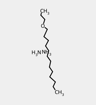 CCCCCCCCCCCCCOCCC.N.N